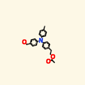 CC(=O)OCCc1ccc(N(c2ccc(C)cc2)c2ccc(C=O)cc2)cc1